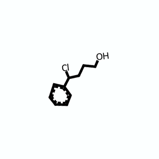 OCCCC(Cl)c1ccccc1